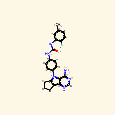 Cc1ccc(F)c(NC(=O)Nc2ccc(-n3c4c(c5ncnc(N)c53)CCC4)cc2)c1